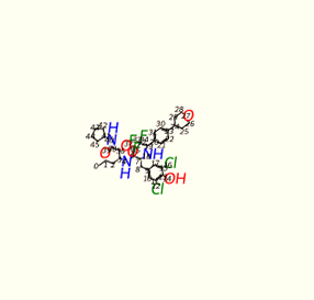 CCC[C@H](NC(=O)[C@H](Cc1cc(Cl)c(O)c(Cl)c1)N[C@@H](c1ccc(C2CCOCC2)cc1)C(F)(F)F)C(=O)C(=O)NC1CCCC1